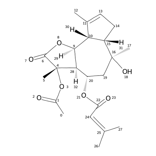 CC(=O)O[C@]1(C)C(=O)O[C@H]2[C@@H]3C(C)=CC[C@@H]3[C@@](C)(O)C[C@H](OC(=O)C=C(C)C)[C@H]21